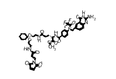 COC(=O)[C@H](CCC(=O)NCCOC1(OCCNC(=O)CCN2C(=O)C=CC2=O)CCCCC1)NC(=O)c1ccc(N(Cc2ccc3nc(N)[nH]c(=O)c3c2)C(=O)C(F)(F)F)cc1